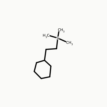 C[Si](C)(C)CCC1CCCCC1